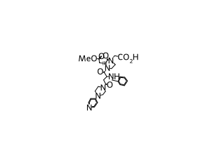 COC(=O)C[C@H]1C(=O)N(CC(=O)O)CCN1C(=O)C(CC(=O)N1CCN(c2ccncc2)CC1)NCc1ccccc1